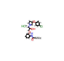 CNC(=O)Nc1ccccc1OCC(O)CN1CCC(Oc2ccc(Cl)cc2)C1.Cl